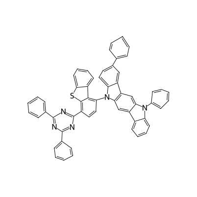 c1ccc(-c2ccc3c(c2)c2cc4c(cc2n3-c2ccc(-c3nc(-c5ccccc5)nc(-c5ccccc5)n3)c3sc5ccccc5c23)c2ccccc2n4-c2ccccc2)cc1